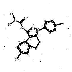 CCN(CC)C(=O)Oc1nn(-c2ccc(C)cc2)c2c1-c1ccc(Cl)cc1CC2